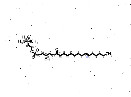 CCCCC/C=C/CCCCCCCC(=O)OC[C@@H](O)COP(=O)([O-])OCC[N+](C)(C)C